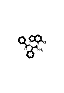 NC(=O)C(c1ccccc1)N(C(=O)c1ccccc1)[C@@H]1CCc2ccc(Cl)cc21